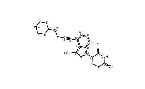 Cc1nn(C2CCC(=O)NC2=O)c2ccnc(C#CCOC3CCNCC3)c12